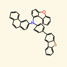 c1ccc2c(c1)ccc1ccc(N(c3ccc(-c4ccc5sc6ccccc6c5c4)cc3)c3cccc4oc5ccccc5c34)cc12